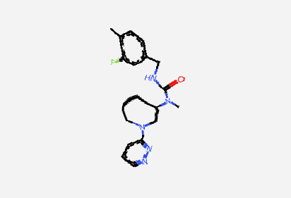 Cc1ccc(CNC(=O)N(C)[C@@H]2CCCN(c3cccnn3)C2)cc1F